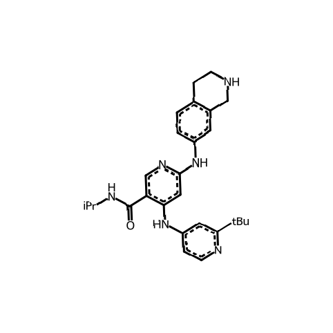 CC(C)NC(=O)c1cnc(Nc2ccc3c(c2)CNCC3)cc1Nc1ccnc(C(C)(C)C)c1